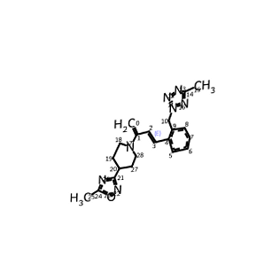 C=C(/C=C/c1ccccc1Cn1nnc(C)n1)N1CCC(c2noc(C)n2)CC1